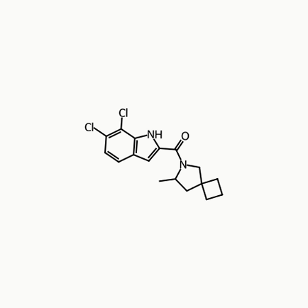 CC1CC2(CCC2)CN1C(=O)c1cc2ccc(Cl)c(Cl)c2[nH]1